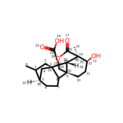 CC1C[C@]23C[C@H]1CCC2[C@]12CC[C@H](O)[C@](C)(C(=O)OC1)[C@H]2[C@@H]3C(=O)O